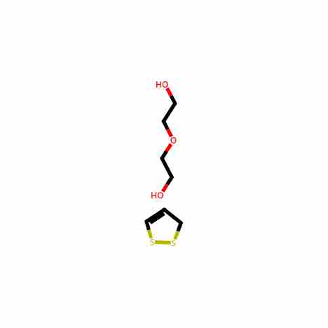 C1=CSSC1.OCCOCCO